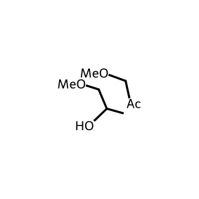 COCC(C)=O.COCC(C)O